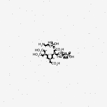 NCCOP(=O)(O)O.O=C(O)CN(CCN(CC(=O)O)CC(=O)O)CCN(CC(=O)O)CC(=O)O.O=P(O)(O)OP(=O)(O)O